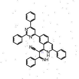 N#C/C(C(=N)c1ccccc1)=C1/NC(c2ccccc2)=Cc2ccc(-c3cc(-c4ccccc4)nc(-c4ccccc4)n3)cc21